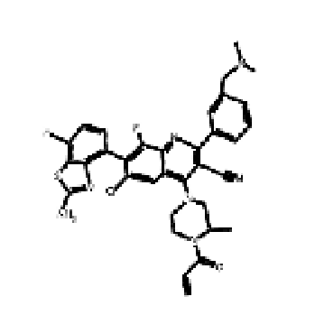 C=CC(=O)N1CCN(c2c(C#N)c(-c3cccc(CN(C)C)c3)nc3c(F)c(-c4ccc(F)c5sc(N)nc45)c(Cl)cc23)CC1C